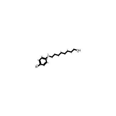 OCCCCCCCCOc1ccc(Br)cc1